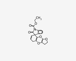 CCOC(=O)N1C(=O)C2(C=CCC3=C2OC2=C(CCO2)O3)c2ccccc21